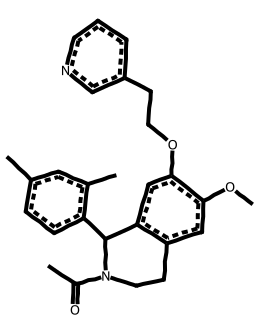 COc1cc2c(cc1OCCc1cccnc1)C(c1ccc(C)cc1C)N(C(C)=O)CC2